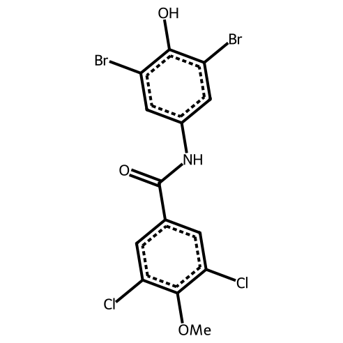 COc1c(Cl)cc(C(=O)Nc2cc(Br)c(O)c(Br)c2)cc1Cl